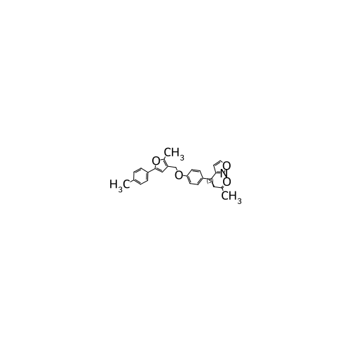 CC(=O)C[C@@H](c1ccc(OCc2cc(-c3ccc(C)cc3)oc2C)cc1)c1ccon1